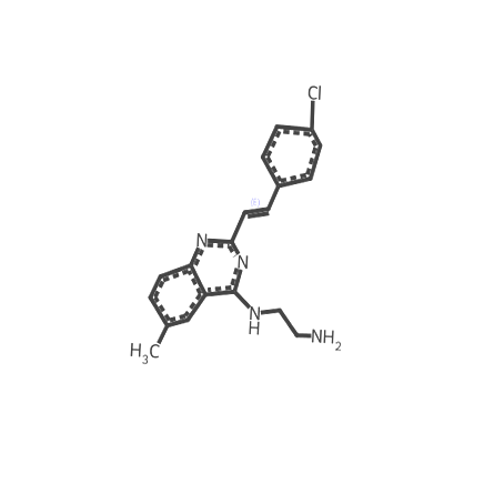 Cc1ccc2nc(/C=C/c3ccc(Cl)cc3)nc(NCCN)c2c1